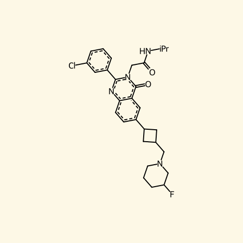 CC(C)NC(=O)Cn1c(-c2cccc(Cl)c2)nc2ccc(C3CC(CN4CCCC(F)C4)C3)cc2c1=O